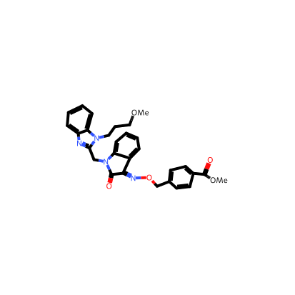 COCCCn1c(CN2C(=O)/C(=N/OCc3ccc(C(=O)OC)cc3)c3ccccc32)nc2ccccc21